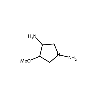 COC1CN(N)CC1N